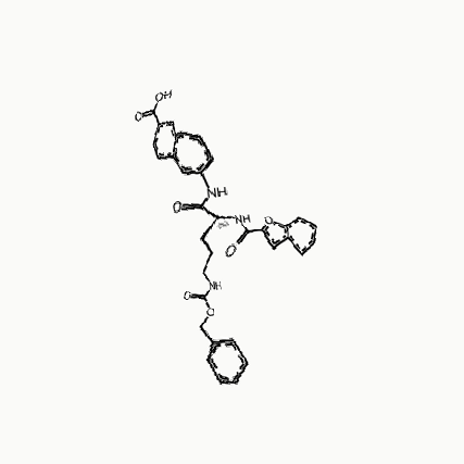 O=C(NCCC[C@H](NC(=O)c1cc2ccccc2o1)C(=O)Nc1ccc2cc(C(=O)O)ccc2c1)OCc1ccccc1